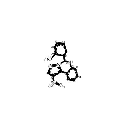 O=[N+]([O-])c1cnn2c1-c1ccccc1NC2c1ccccc1O